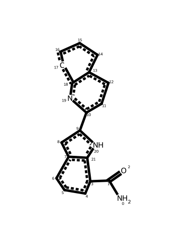 NC(=O)c1cccc2cc(-c3ccc4ccccc4n3)[nH]c12